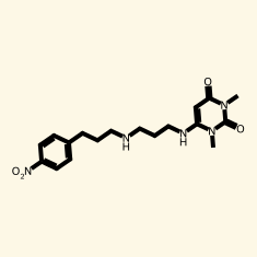 Cn1c(NCCCNCCCc2ccc([N+](=O)[O-])cc2)cc(=O)n(C)c1=O